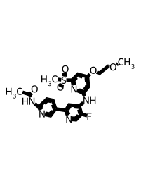 COCCOc1cc(Nc2cc(-c3ccc(NC(C)=O)nc3)ncc2F)nc(S(C)(=O)=O)c1